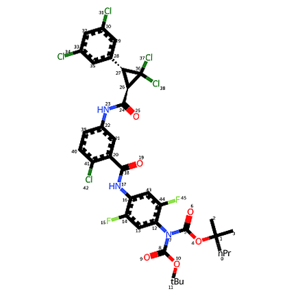 CCCC(C)(C)OC(=O)N(C(=O)OC(C)(C)C)c1cc(F)c(NC(=O)c2cc(NC(=O)[C@H]3[C@H](c4cc(Cl)cc(Cl)c4)C3(Cl)Cl)ccc2Cl)cc1F